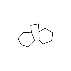 C1CCC2(CC1)CCC21CCCCC1